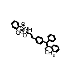 CCC(=C(c1ccccc1)c1ccc(C=CC(=O)NS(=O)(=O)c2ccccc2Cl)cc1)c1ccccc1